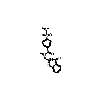 CN(Cc1nc2ccccc2c(=O)[nH]1)C(=O)c1ccc(S(=O)(=O)N(C)C)cc1